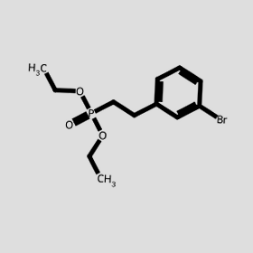 CCOP(=O)(CCc1cccc(Br)c1)OCC